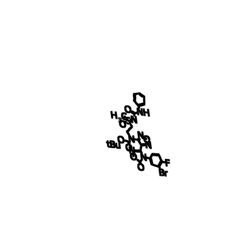 CC(C)(C)OC(=O)N(CCS(C)(=O)=NC(=O)Nc1ccccc1)c1nonc1-c1noc(=O)n1-c1ccc(F)c(Br)c1